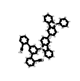 N#Cc1ccccc1-c1cc(-c2ccccc2C#N)cc(-n2c3ccccc3c3cc(-c4ccc5c(c4)c4ccccc4n5-c4ccccc4)ccc32)c1